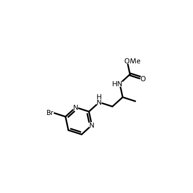 COC(=O)NC(C)CNc1nccc(Br)n1